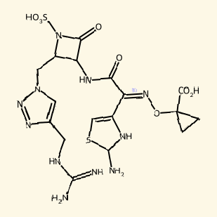 N=C(N)NCc1cn(CC2C(NC(=O)/C(=N/OC3(C(=O)O)CC3)C3=CSC(N)N3)C(=O)N2S(=O)(=O)O)nn1